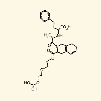 CC(NC(CCc1ccccc1)C(=O)O)C(=O)N1CC2=C(C=CCC2)CC1C(=O)OCCOCCON(O)O